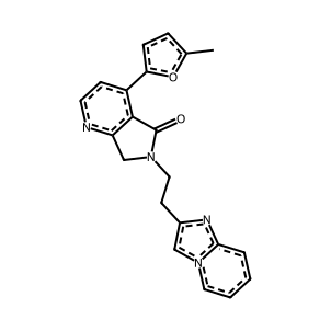 Cc1ccc(-c2ccnc3c2C(=O)N(CCc2cn4ccccc4n2)C3)o1